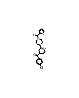 O=C(c1ccc(Cl)cc1)C1CC[N]C(N2CCN(C(=O)c3cccs3)CC2)C1